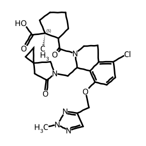 Cn1ncc(COc2ccc(Cl)c3c2C(CN2CC4(CC4)CC2=O)N(C(=O)C2CCCC[C@]2(C)C(=O)O)CC3)n1